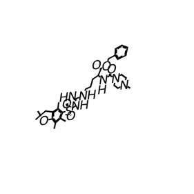 Cc1c(C)c(S(=O)(=O)NC(=N)NCCCC(NC(=O)N2CCN(C)CC2)C(=O)OCc2ccccc2)c(C)c2c1OC(C)(C)C2